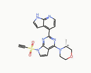 C#CS(=O)(=O)n1ccc2c(N3CCOC[C@H]3C)nc(-c3ccnc4[nH]ccc34)nc21